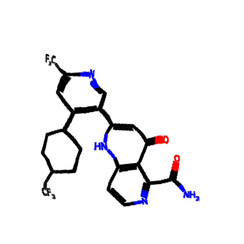 NC(=O)c1nccc2[nH]c(-c3cnc(C(F)(F)F)cc3C3CCC(C(F)(F)F)CC3)cc(=O)c12